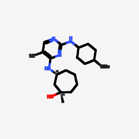 COC1CCC(Nc2ncc(C#N)c(N[C@@H]3CCCC[C@@](C)(O)C3)n2)CC1